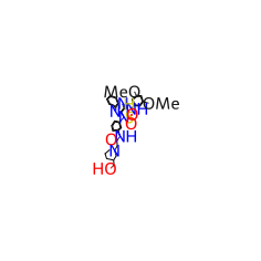 COc1cc(Nc2nc3ccccc3nc2N(c2cccc(NC(=O)CN3CCCC(CO)C3)c2)[SH](=O)=O)cc(OC)c1